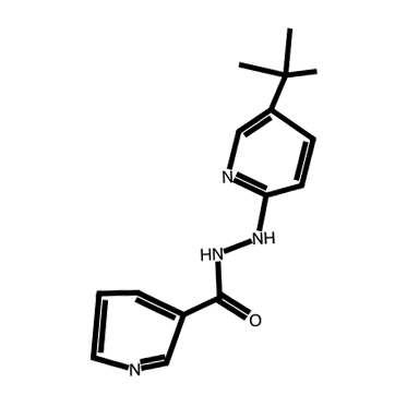 CC(C)(C)c1ccc(NNC(=O)c2cccnc2)nc1